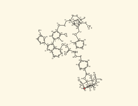 Cc1c(-c2c(-c3ccc(F)o3)sc3ncnc(O[C@H](Cc4ccccc4OCc4ccnn4CC(F)(F)F)C(=O)NOCc4ccc(B5OC(S(C)(=O)=O)(S(C)(=O)=O)C(S(C)(=O)=O)(S(C)(=O)=O)O5)cc4)c23)ccc(OCCN2CCN(C)CC2)c1Cl